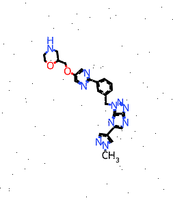 Cn1cc(-c2cnc3nnn(Cc4cccc(-c5ncc(OCC6CNCCO6)cn5)c4)c3n2)cn1